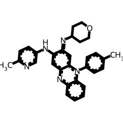 Cc1ccc(-n2c3c/c(=N\C4CCOCC4)c(Nc4ccc(C)nc4)cc-3nc3ccccc32)cc1